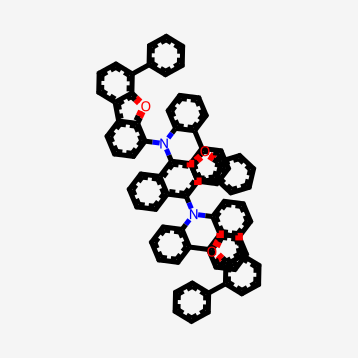 c1ccc(-c2ccccc2N(c2cccc3c2oc2c(-c4ccccc4)cccc23)c2c3ccccc3c(N(c3ccccc3-c3ccccc3)c3cccc4c3oc3c(-c5ccccc5)cccc34)c3c2oc2ccccc23)cc1